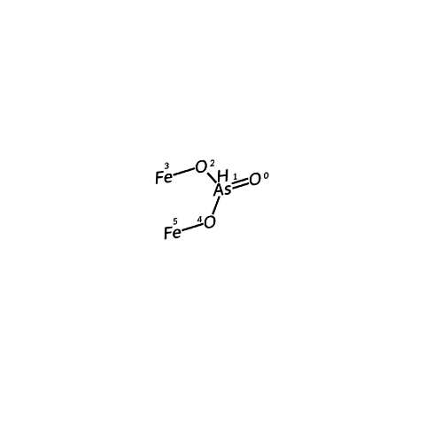 O=[AsH]([O][Fe])[O][Fe]